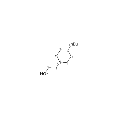 CCCCC1CCN(CCO)CC1